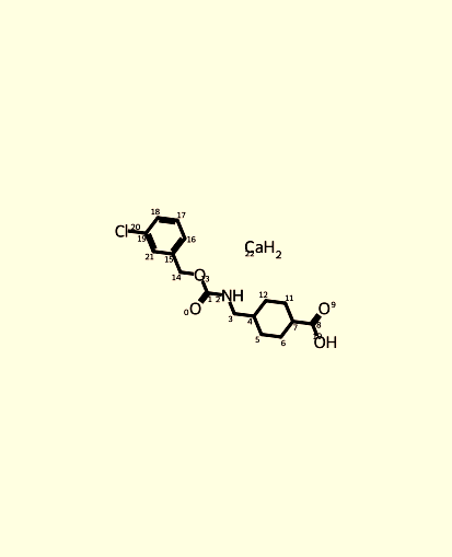 O=C(NCC1CCC(C(=O)O)CC1)OCc1cccc(Cl)c1.[CaH2]